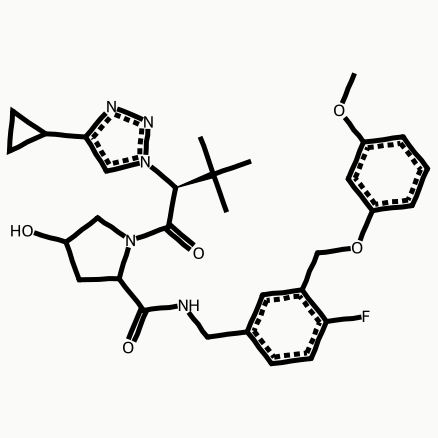 COc1cccc(OCc2cc(CNC(=O)C3CC(O)CN3C(=O)[C@@H](n3cc(C4CC4)nn3)C(C)(C)C)ccc2F)c1